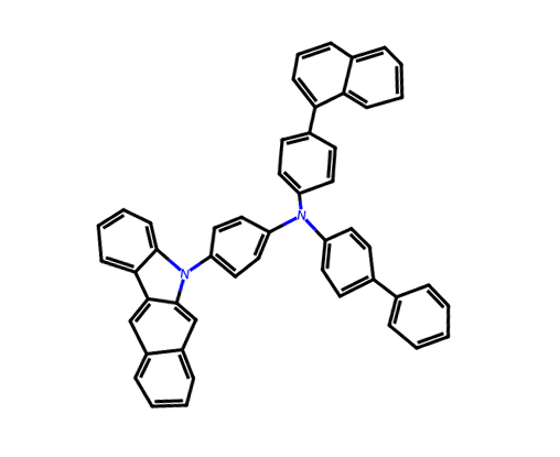 c1ccc(-c2ccc(N(c3ccc(-c4cccc5ccccc45)cc3)c3ccc(-n4c5ccccc5c5cc6ccccc6cc54)cc3)cc2)cc1